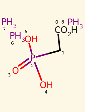 O=C(O)CP(=O)(O)O.P.P.P